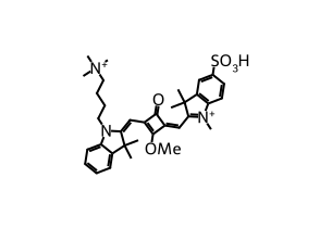 COC1=C(/C=C2/N(CCCC[N+](C)(C)C)c3ccccc3C2(C)C)C(=O)/C1=C\C1=[N+](C)c2ccc(S(=O)(=O)O)cc2C1(C)C